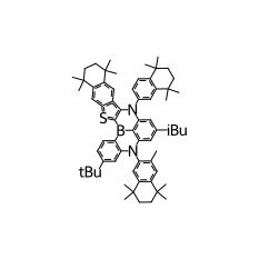 CCC(C)c1cc2c3c(c1)N(c1ccc4c(c1)C(C)(C)CCC4(C)C)c1c(sc4cc5c(cc14)C(C)(C)CCC5(C)C)B3c1ccc(C(C)(C)C)cc1N2c1cc2c(cc1C)C(C)(C)CCC2(C)C